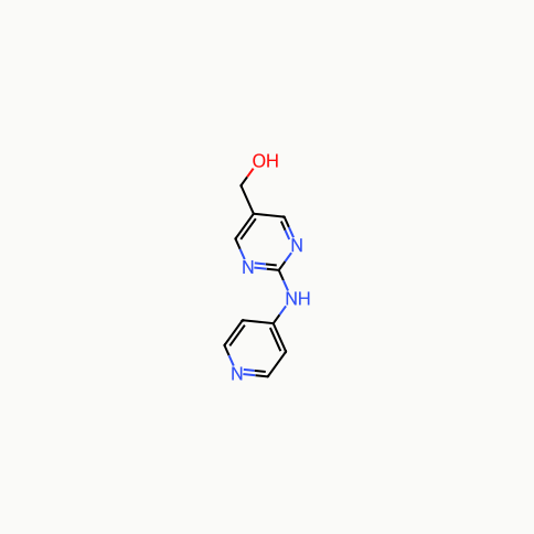 OCc1cnc(Nc2ccncc2)nc1